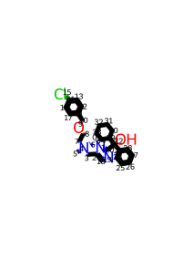 Cn1c(C[N+](C)(C)CCOCc2ccc(Cl)cc2)cnc1C(O)(c1ccccc1)C1CCCCC1